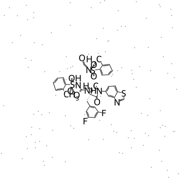 Cc1ccccc1S(=O)(=O)N=C=O.Cc1ccccc1S(=O)(=O)NC(=O)N[C@@H](Cc1cc(F)cc(F)c1)C(=O)N(C)c1ccc2scnc2c1